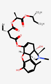 CC(=O)C[C@@H](CC(=O)OC1=CC[C@@]2(O)[C@@H](C)N(C)CC[C@@]23c2c(C)ccc(O)c2O[C@@H]13)C(=O)O[C@@H](C)C(=O)O[C@@H](CC(=O)O)C(=O)O